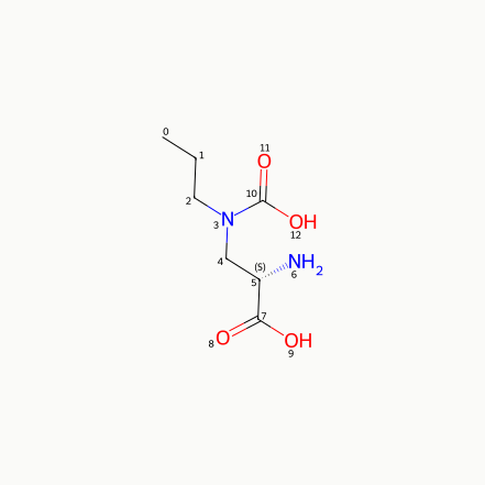 CCCN(C[C@H](N)C(=O)O)C(=O)O